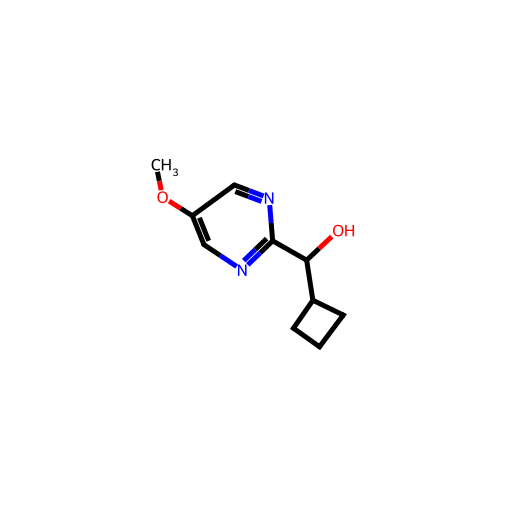 COc1cnc(C(O)C2CCC2)nc1